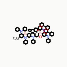 CC(C)(C)c1cc2c3c(c1)N(c1ccccc1)c1cc4c(cc1B3c1ccccc1N2c1ccccc1)C1(c2ccccc2-c2ccccc21)c1cc2c(cc1N4c1ccccc1)Oc1cc(N(c3ccccc3)c3ccccc3-c3ccccc3)cc3c1B2c1ccccc1N3c1ccccc1-c1ccccc1